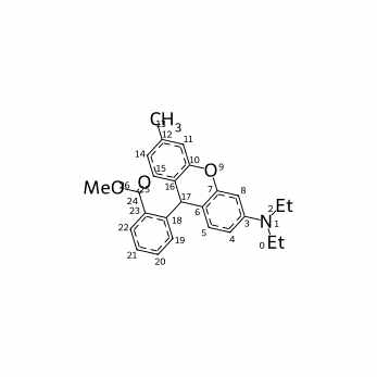 CCN(CC)c1ccc2c(c1)Oc1cc(C)ccc1C2c1ccccc1C(=O)OC